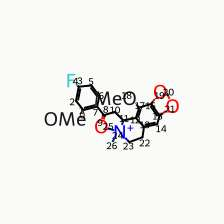 COc1cc(F)ccc1C(=O)CC1c2c(cc3c(c2OC)OCO3)CC[N+]1(C)C